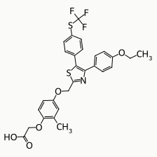 CCOc1ccc(-c2nc(COc3ccc(OCC(=O)O)c(C)c3)sc2-c2ccc(SC(F)(F)F)cc2)cc1